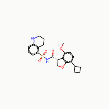 COc1ccc(C2CCC2)c2c1[C@@H](C(=O)NS(=O)(=O)c1cccc3c1CCCN3)CO2